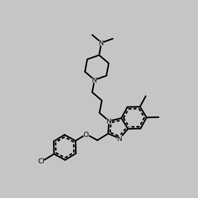 Cc1cc2nc(COc3ccc(Cl)cc3)n(CCCN3CCC(N(C)C)CC3)c2cc1C